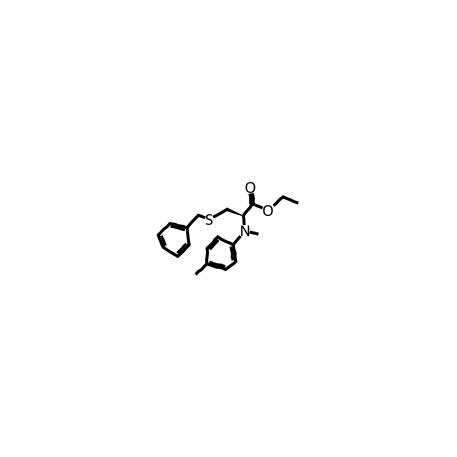 CCOC(=O)[C@H](CSCc1ccccc1)N(C)c1ccc(C)cc1